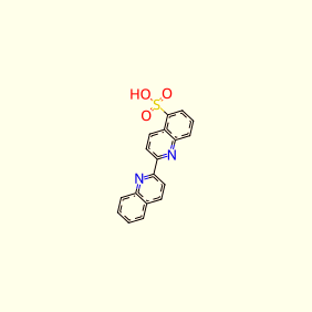 O=S(=O)(O)c1cccc2nc(-c3ccc4ccccc4n3)ccc12